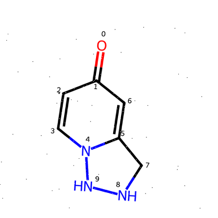 O=c1[c]cn2c(c1)CNN2